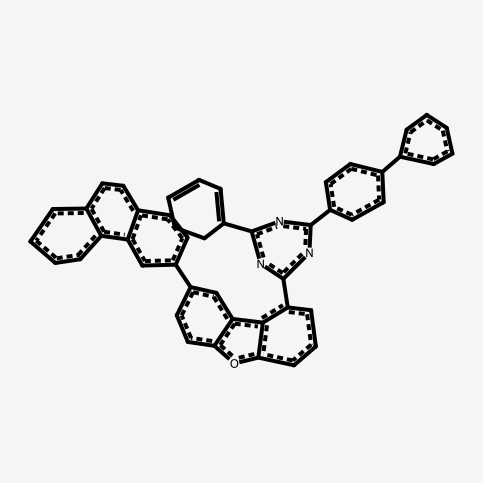 C1=CCCC(c2nc(-c3ccc(-c4ccccc4)cc3)nc(-c3cccc4oc5ccc(-c6ccc7ccc8ccccc8c7c6)cc5c34)n2)=C1